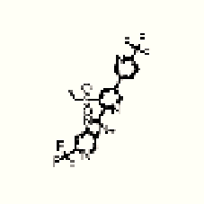 CCS(=O)(=O)c1cc(-c2ccc(C(F)(F)F)nc2)cnc1-c1nc2cc(C(F)(F)F)ncc2n1C